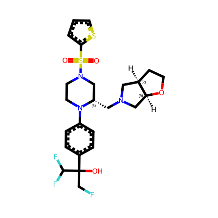 O=S(=O)(c1cccs1)N1CCN(c2ccc(C(O)(CF)C(F)F)cc2)[C@@H](CN2C[C@H]3CCO[C@H]3C2)C1